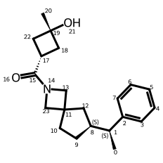 C[C@H](c1ccccc1)[C@H]1CCC2(C1)CN(C(=O)[C@H]1C[C@@](C)(O)C1)C2